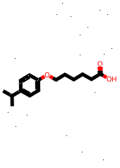 CC(C)c1ccc(OCCCCCC(=O)O)cc1